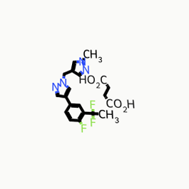 Cn1cc(Cn2cc(-c3ccc(F)c(C(C)(F)F)c3)cn2)cn1.O=C(O)CCC(=O)O